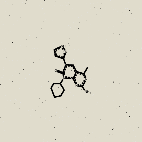 Cc1nc(N)nc2c1cc(-c1cc[nH]n1)c(=O)n2C1CCCCC1